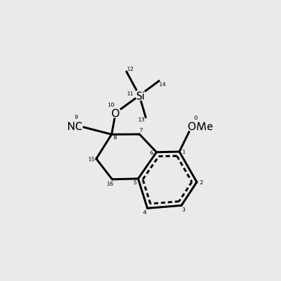 COc1cccc2c1CC(C#N)(O[Si](C)(C)C)CC2